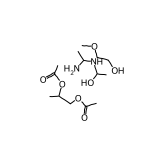 CC(=O)OCC(C)OC(C)=O.CC(N)NC(C)O.COCCO